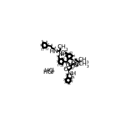 CCC(NCCCc1ccccc1)NCc1cccc(C2OC(CC(=O)NCc3ccccc3F)C(=O)N(CC(C)(C)C)c3ccc(Cl)cc32)c1.Cl.Cl